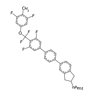 CCCCCC1Cc2ccc(-c3ccc(-c4cc(F)c(C(F)(F)Oc5cc(F)c(C)c(F)c5)c(F)c4)cc3)cc2C1